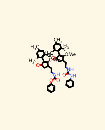 COC1=C(c2c(C)cc(C)cc2C)C(=O)CC1CCNC(=O)Nc1ccccc1.COC1=C(c2c(C)cc(C)cc2C)C(=O)CC1CCNC(=O)Oc1ccccc1